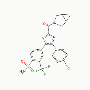 NS(=O)(=O)c1ccc(-c2sc(C(=O)N3CC4CC4C3)nc2-c2ccc(Cl)cc2)cc1C(F)(F)F